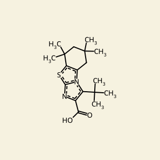 CC1(C)Cc2c(sc3nc(C(=O)O)c(C(C)(C)C)n23)C(C)(C)C1